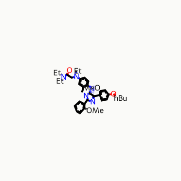 CCCCOc1ccc(C2=NC(c3ccccc3OC)=N/C2=N\c2ccc(N(CC)CC(=O)N(CC)CC)cc2C)c(OC)c1